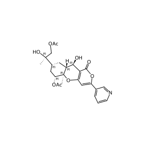 CC(=O)OC[C@](C)(O)[C@@H]1C[C@@H]2[C@@H](O)c3c(cc(-c4cccnc4)oc3=O)O[C@@]2(C)[C@H](OC(C)=O)C1